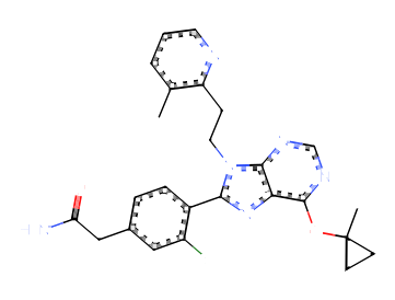 Cc1cccnc1CCn1c(-c2ccc(CC(N)=O)cc2Cl)nc2c(OC3(C)CC3)ncnc21